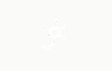 O=C(O)Cc1nc(Br)c(Br)c(Br)c1Br